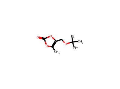 CCCC(C)(CC)OCc1oc(=O)oc1C